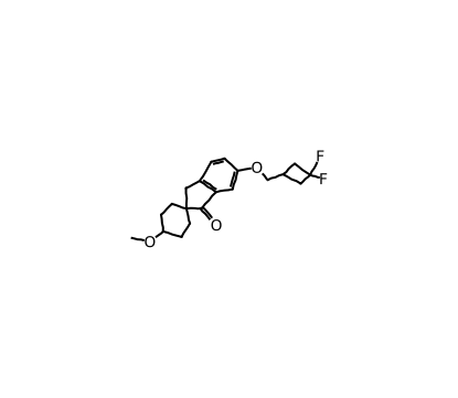 COC1CCC2(CC1)Cc1ccc(OCC3CC(F)(F)C3)cc1C2=O